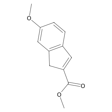 COC(=O)C1=Cc2ccc(OC)cc2C1